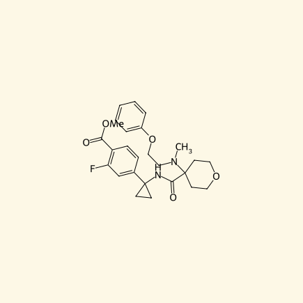 COC(=O)c1ccc(C2(NC(=O)C3(N(C)CCOc4ccccc4)CCOCC3)CC2)cc1F